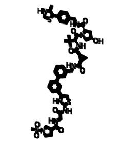 CC1NCSC1c1ccc(CNC(=O)[C@@H]2C[C@@H](O)CN2C(=O)[C@@H](NC(=O)C2CC2C(=O)NCc2cccc(-c3cccc(C4CSC(NC(=O)CNC(=O)C5CCN(S(C)(=O)=O)C5)N4)c3)c2)C(C)(C)C)cc1